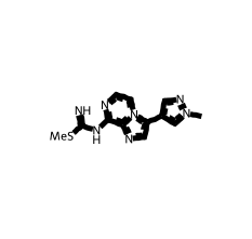 CSC(=N)Nc1nccn2c(-c3cnn(C)c3)cnc12